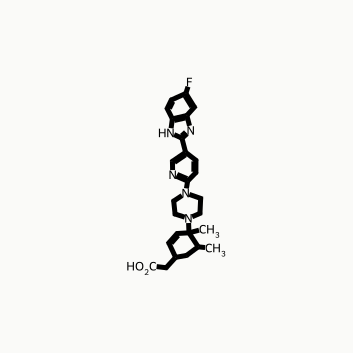 CC1CC(CC(=O)O)C=CC1(C)N1CCN(c2ccc(-c3nc4cc(F)ccc4[nH]3)cn2)CC1